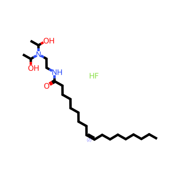 CCCCCCCC/C=C\CCCCCCCC(=O)NCCN(C(C)O)C(C)O.F